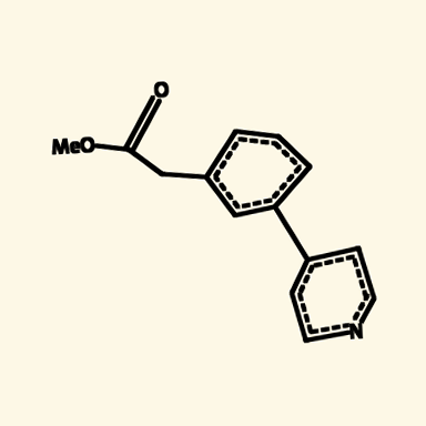 COC(=O)Cc1cccc(-c2ccncc2)c1